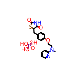 CN(CCOc1ccc(CC2SC(=O)NC2=O)cc1)c1ccccn1.O=P(O)(O)O